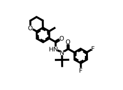 Cc1c(C(=O)NN(C(=O)c2cc(F)cc(F)c2)C(C)(C)C)ccc2c1CCCO2